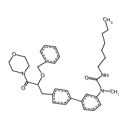 CCCCCCCNC(=O)N(C)c1cccc(-c2ccc(CC(OCc3ccccc3)C(=O)N3CCOCC3)cc2)c1